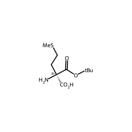 CSCC[C@@](N)(C(=O)O)C(=O)OC(C)(C)C